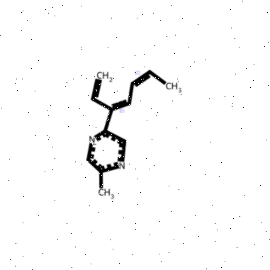 C=C/C(=C\C=C/C)c1cnc(C)cn1